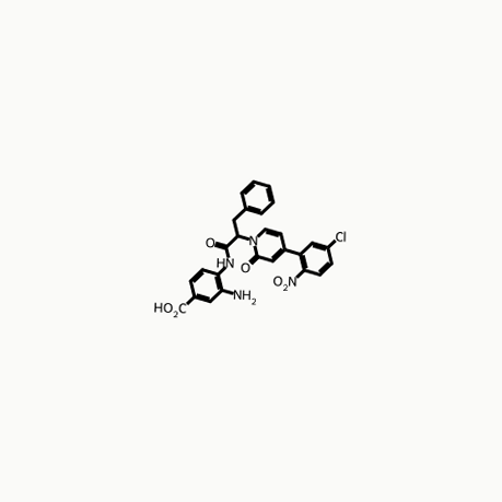 Nc1cc(C(=O)O)ccc1NC(=O)C(Cc1ccccc1)n1ccc(-c2cc(Cl)ccc2[N+](=O)[O-])cc1=O